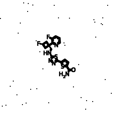 NC(=O)c1ccc(-c2nnc(NC[C@]3(c4ncccc4F)C[C@H](F)C3)s2)s1